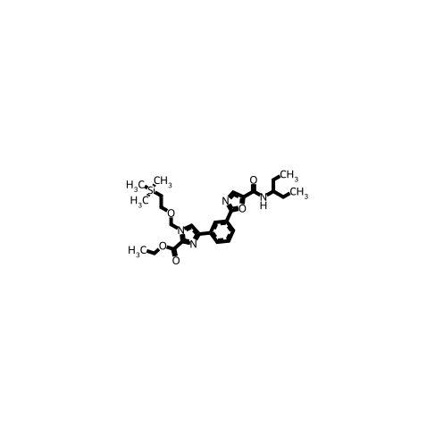 CCOC(=O)c1nc(-c2cccc(-c3ncc(C(=O)NC(CC)CC)o3)c2)cn1COCC[Si](C)(C)C